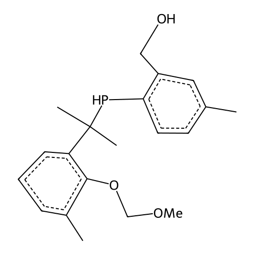 COCOc1c(C)cccc1C(C)(C)Pc1ccc(C)cc1CO